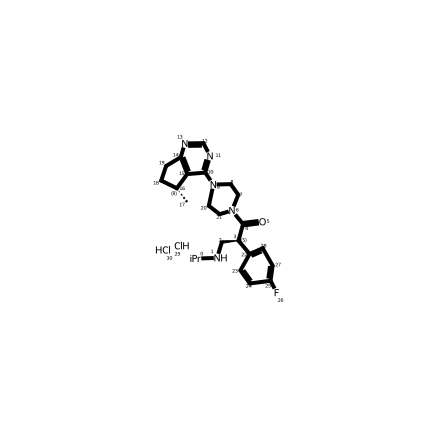 CC(C)NC[C@@H](C(=O)N1CCN(c2ncnc3c2[C@H](C)CC3)CC1)c1ccc(F)cc1.Cl.Cl